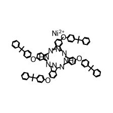 CC(C)(c1ccccc1)c1ccc(Oc2ccc3c(c2)-c2nc-3nc3[nH]c(nc4nc(nc5[nH]c(n2)c2cc(Oc6ccc(C(C)(C)c7ccccc7)cc6)ccc52)-c2ccc(Oc5ccc(C(C)(C)c6ccccc6)cc5)cc2-4)c2cc(Oc4ccc(C(C)(C)c5ccccc5)cc4)ccc32)cc1.[Ni+2]